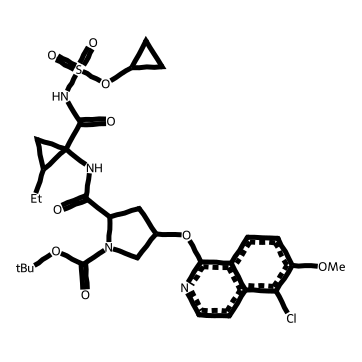 CCC1CC1(NC(=O)C1CC(Oc2nccc3c(Cl)c(OC)ccc23)CN1C(=O)OC(C)(C)C)C(=O)NS(=O)(=O)OC1CC1